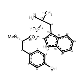 CN[C@@H](Cc1ccc(O)cc1)C(=O)O.C[C@](N)(Cc1c[nH]c2ccccc12)C(=O)O